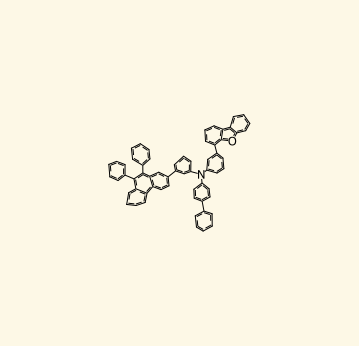 c1ccc(-c2ccc(N(c3cccc(-c4ccc5c(c4)c(-c4ccccc4)c(-c4ccccc4)c4ccccc45)c3)c3cccc(-c4cccc5c4oc4ccccc45)c3)cc2)cc1